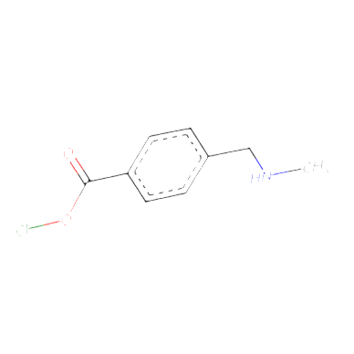 CNCc1ccc(C(=O)OCl)cc1